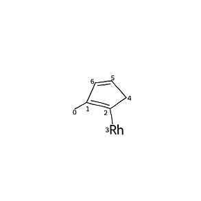 CC1=[C]([Rh])CC=C1